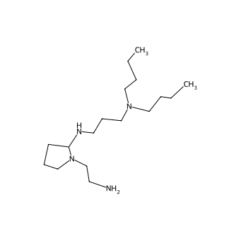 CCCCN(CCCC)CCCNC1CCCN1CCN